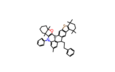 Cc1cc2c3c(c1)N(c1ccccc1)C1=C(OC4(C)CCCCC14C)B3c1cc3sc4c(c3cc1C2CCc1ccccc1)C(C)(C)CCC4(C)C